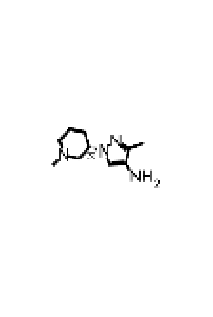 Cc1nn([C@H]2CCCN(C)C2)cc1N